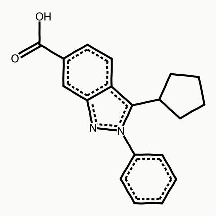 O=C(O)c1ccc2c(C3CCCC3)n(-c3ccccc3)nc2c1